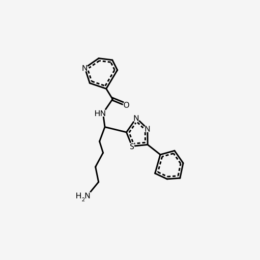 NCCCCC(NC(=O)c1cccnc1)c1nnc(-c2ccccc2)s1